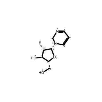 OC[C@H]1O[C@@H](N2C=CC=NC2)[C@@H](F)[C@@H]1O